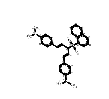 CN(C)c1ccc(C=CC(C=Cc2ccc(N(C)C)cc2)S(=O)(=O)c2cccc3ccccc23)cc1